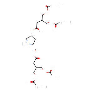 CCCCCCCCC(=O)OCC(COC(=O)CCCCCCCC)CC(=O)OC[C@H]1C[C@@H](OC(=O)CC(COC(=O)CCCCCCCC)COC(=O)CCCCCCCC)CN1